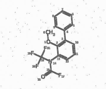 COc1c(-c2ccccc2)cccc1N(C(=O)F)C(F)(F)F